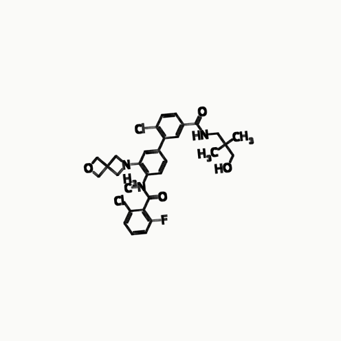 CN(C(=O)c1c(F)cccc1Cl)c1ccc(-c2cc(C(=O)NCC(C)(C)CO)ccc2Cl)cc1N1CC2(COC2)C1